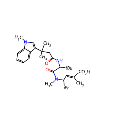 C/C(=C\C(C(C)C)N(C)C(=O)C(NC(=O)CC(C)(C)c1cn(C)c2ccccc12)C(C)(C)C)C(=O)O